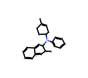 CC1=CCC(N(c2ccccc2)C2C=c3ccccc3=CC2C)CC1